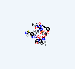 Cc1ncsc1-c1ccc(CNC(=O)[C@@H]2C[C@@H](O)CN2C(=O)C(NC(=O)COCCOc2cccc(C#CCn3c(=O)n(C)c(=O)c4c3nc(S(C)(=O)=O)n4C)c2)C(C)(C)C)cc1